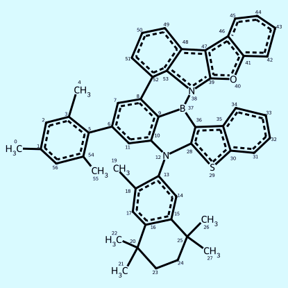 Cc1cc(C)c(-c2cc3c4c(c2)N(c2cc5c(cc2C)C(C)(C)CCC5(C)C)c2sc5ccccc5c2B4n2c4oc5ccccc5c4c4cccc-3c42)c(C)c1